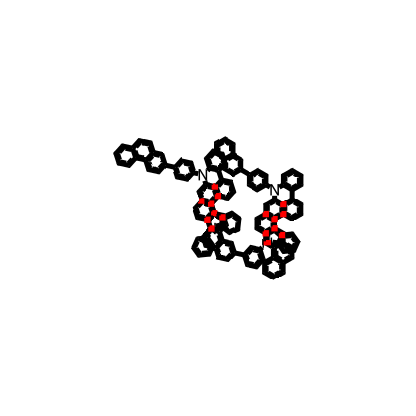 c1ccc(-n2c3ccccc3c3c(-c4cccc(-c5ccccc5N(c5ccc(-c6ccc7c(ccc8ccccc87)c6)cc5)c5ccc(-c6ccc7c(ccc8ccc(-c9cccc(-n%10c%11ccccc%11c%11c(-c%12cccc(-c%13ccccc%13N(c%13ccc(-c%14ccc%15ccccc%15c%14)cc%13)c%13ccc(-c%14ccc%15c(ccc%16ccccc%16%15)c%14)cc%13)c%12)cccc%11%10)c9)cc87)c6)cc5)c4)cccc32)cc1